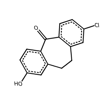 O=C1c2ccc(O)cc2CCc2cc(Cl)ccc21